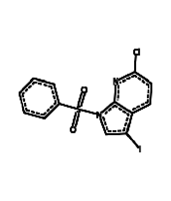 O=S(=O)(c1ccccc1)n1cc(I)c2ccc(Cl)nc21